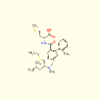 CCSCC(CC(C)C)N(C)Cc1ccc(C(=O)NC(CCSC)C(=O)O)c(-c2ccccc2C)c1